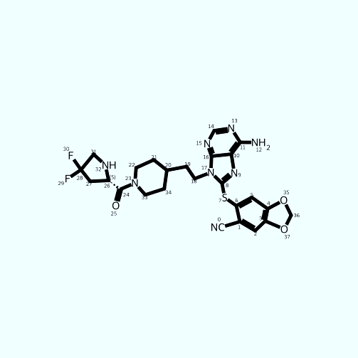 N#Cc1cc2c(cc1Sc1nc3c(N)ncnc3n1CCC1CCN(C(=O)[C@@H]3CC(F)(F)CN3)CC1)OCO2